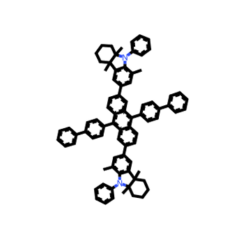 Cc1cc(-c2ccc3c(-c4ccc(-c5ccccc5)cc4)c4cc(-c5cc(C)c6c(c5)C5(C)CCCCC5(C)N6c5ccccc5)ccc4c(-c4ccc(-c5ccccc5)cc4)c3c2)cc2c1N(c1ccccc1)C1(C)CCCCC21C